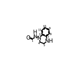 O=CNN1CCNc2ccccc21